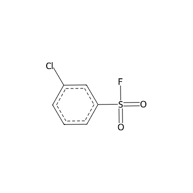 O=S(=O)(F)c1cccc(Cl)c1